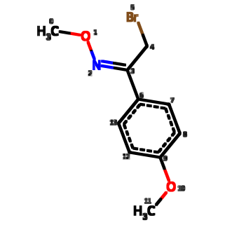 CON=C(CBr)c1ccc(OC)cc1